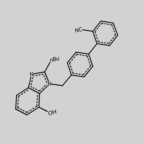 CCCCc1nc2cccc(O)c2n1Cc1ccc(-c2ccccc2C#N)cc1